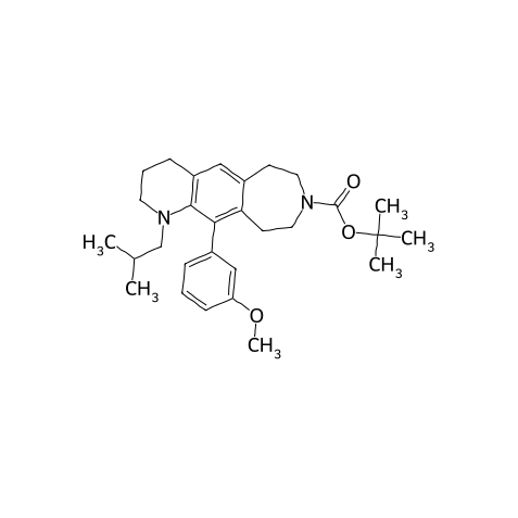 COc1cccc(-c2c3c(cc4c2N(CC(C)C)CCC4)CCN(C(=O)OC(C)(C)C)CC3)c1